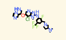 CN(C)C1CCN(Cc2cc(C(F)(F)F)cc(Nc3nc4ncc(O/C(C=N)=C5\C=NC=CN5)c(Cl)c4n3C)c2F)C1